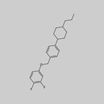 CCCC1CCC(c2ccc(COc3ccc(F)c(F)c3)cc2)CC1